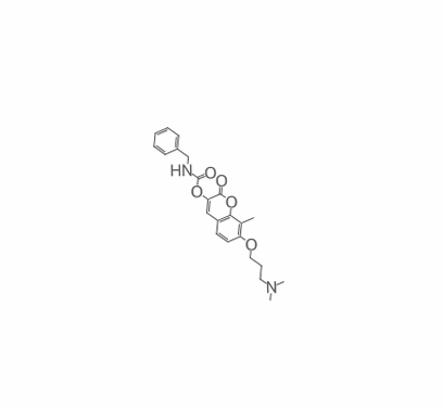 Cc1c(OCCCN(C)C)ccc2cc(OC(=O)NCc3ccccc3)c(=O)oc12